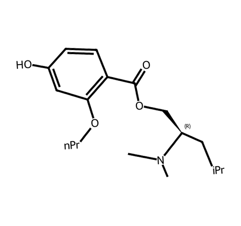 CCCOc1cc(O)ccc1C(=O)OC[C@@H](CC(C)C)N(C)C